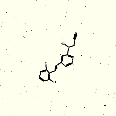 Cc1cccc(Cl)c1/C=C/c1cccc(C(O)CC#N)c1